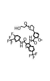 COc1ccc(C2CCN(C(=O)CCO)C2)cc1C(=O)Nc1c(C(=O)Nc2ccc(F)c(C(F)(F)F)c2)sc2cc(C(F)(F)F)ccc12